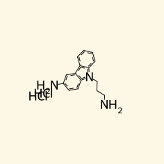 Cl.Cl.NCCCn1c2ccccc2c2cc(N)ccc21